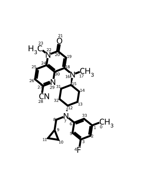 Cc1cc(F)cc(N(CC2CC2)[C@H]2CC[C@H](N(C)c3cc(=O)n(C)c4ccc(C#N)nc34)CC2)c1